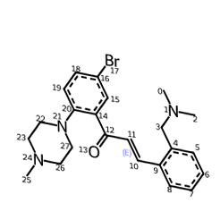 CN(C)Cc1ccccc1/C=C/C(=O)c1cc(Br)ccc1N1CCN(C)CC1